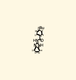 CCC(C)c1ccc(C(=O)Nc2nc3ccccc3[nH]2)cc1